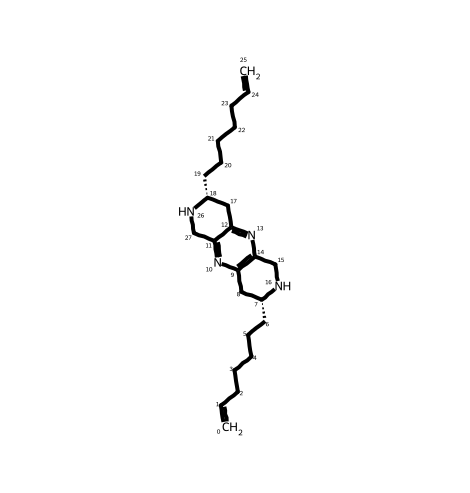 C=CCCCCC[C@@H]1Cc2nc3c(nc2CN1)C[C@@H](CCCCCC=C)NC3